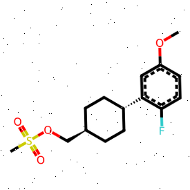 COc1ccc(F)c([C@H]2CC[C@H](COS(C)(=O)=O)CC2)c1